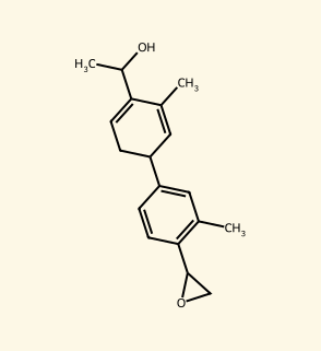 CC1=CC(c2ccc(C3CO3)c(C)c2)CC=C1C(C)O